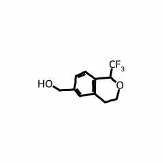 OCc1ccc2c(c1)CCOC2C(F)(F)F